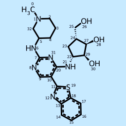 CN1CCCC(Nc2ncc(-c3nc4ccccc4s3)c(N[C@@H]3C[C@H](CO)[C@@H](O)[C@H]3O)n2)C1